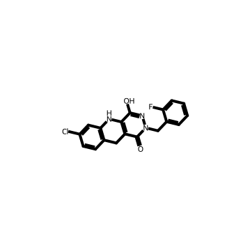 O=c1c2c(c(O)nn1Cc1ccccc1F)Nc1cc(Cl)ccc1C2